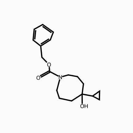 O=C(OCc1ccccc1)N1CCCC(O)(C2CC2)CCC1